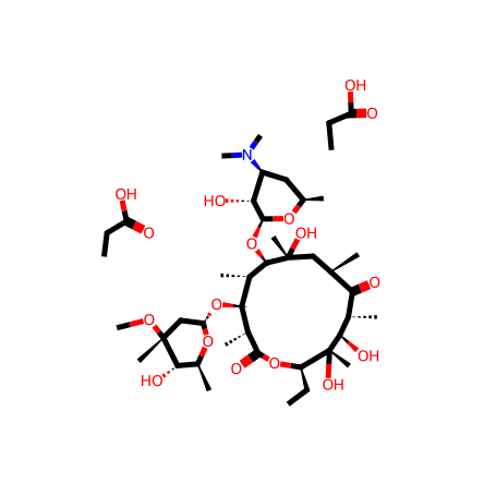 CCC(=O)O.CCC(=O)O.CC[C@H]1OC(=O)[C@H](C)[C@@H](O[C@H]2C[C@@](C)(OC)[C@@H](O)[C@H](C)O2)[C@H](C)[C@@H](O[C@@H]2O[C@H](C)C[C@H](N(C)C)[C@H]2O)[C@](C)(O)C[C@@H](C)C(=O)[C@H](C)[C@@H](O)[C@]1(C)O